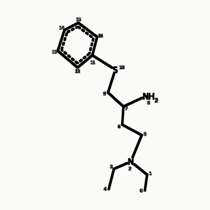 CCN(CC)CCC(N)CSc1ccccc1